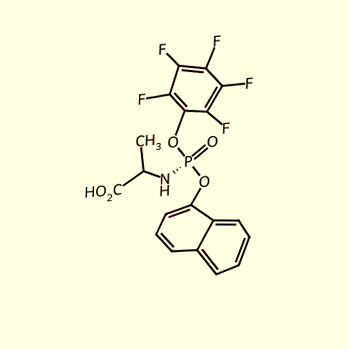 CC(N[P@@](=O)(Oc1c(F)c(F)c(F)c(F)c1F)Oc1cccc2ccccc12)C(=O)O